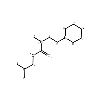 CC(C)COC(=O)N(C)CCN1CCCCC1